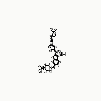 CC(=O)N1CCN(Cc2ccc3c(c2)Cc2c(-c4csc(C#CCOC(C)C)c4)n[nH]c2-3)CC1